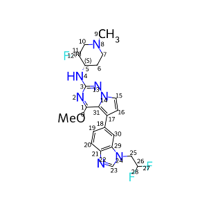 COc1nc(N[C@H]2CCN(C)C[C@H]2F)nn2ccc(-c3ccc4ncn(CC(F)F)c4c3)c12